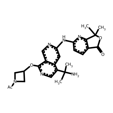 CC(=O)N1CC(Oc2ncc(C(C)(C)N)c3cc(Nc4ccc5c(n4)C(C)(C)OC5=O)ncc23)C1